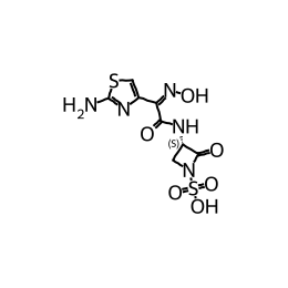 Nc1nc(C(=NO)C(=O)N[C@H]2CN(S(=O)(=O)O)C2=O)cs1